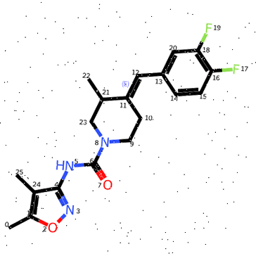 Cc1onc(NC(=O)N2CC/C(=C\c3ccc(F)c(F)c3)C(C)C2)c1C